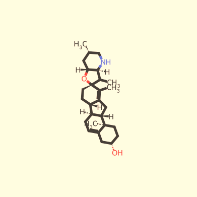 CC1=C2C[C@H]3[C@@H](CC=C4C[C@@H](O)CC[C@@]43C)[C@@H]2CC[C@]12O[C@@H]1C[C@H](C)CN[C@H]1C2C